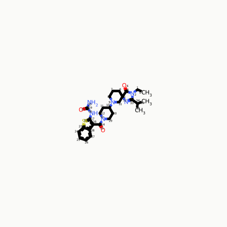 CCN1C(=O)C2(CCCN(C3CCN(C(=O)c4c(NC(N)=O)sc5ccccc45)CC3)C2)N=C1C(C)C